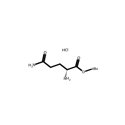 CC(C)(C)OC(=O)[C@H](N)CCC(N)=O.Cl